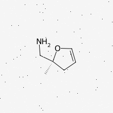 C[C@@]1(CN)CC=CO1